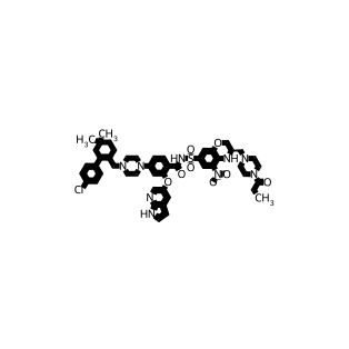 CCC(=O)N1CCN(C[C@@H]2COc3cc(S(=O)(=O)NC(=O)c4ccc(N5CCN(CC6=C(c7ccc(Cl)cc7)CC(C)(C)CC6)CC5)cc4Oc4cnc5[nH]ccc5c4)cc([N+](=O)[O-])c3N2)CC1